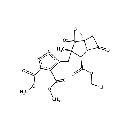 COC(=O)c1nnn(C[C@@]2(C)[C@H](C(=O)OCCl)N3C(=O)C[C@@H]3S2(=O)=O)c1C(=O)OC